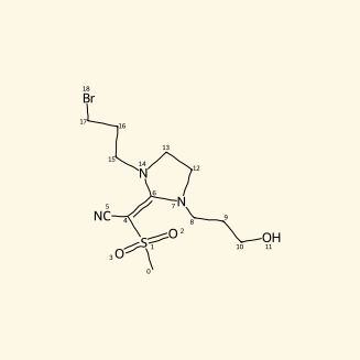 CS(=O)(=O)C(C#N)=C1N(CCCO)CCN1CCCBr